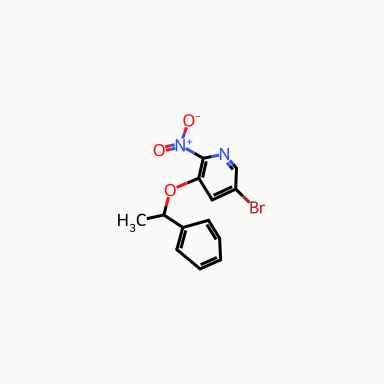 CC(Oc1cc(Br)cnc1[N+](=O)[O-])c1ccccc1